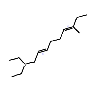 CC/C(C)=C/CC/C=C/CN(CC)CC